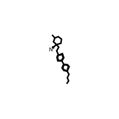 CCCCc1ccc(-c2ccc(CCC3(C#N)CCCC(C)C3)cc2)cc1